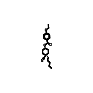 CCCCC[C@]1(C#N)CC[C@@H](OC(=O)c2ccc(OCC)cc2)CC1